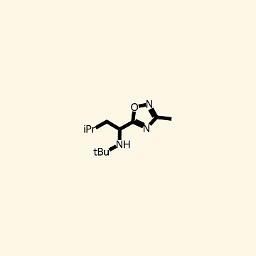 Cc1noc(C(CC(C)C)NC(C)(C)C)n1